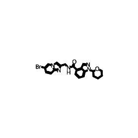 O=C(NCc1cn2cc(Br)ccc2n1)c1cccc2c1cnn2C1CCCCO1